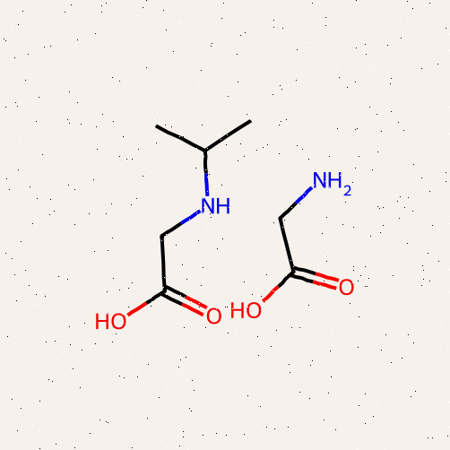 CC(C)NCC(=O)O.NCC(=O)O